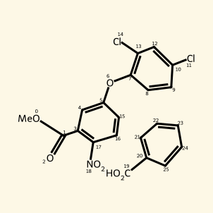 COC(=O)c1cc(Oc2ccc(Cl)cc2Cl)ccc1[N+](=O)[O-].O=C(O)c1ccccc1